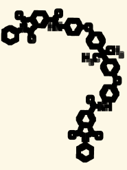 CC(C)(c1ccc(Oc2ccc(NC(=O)c3ccc4c(c3)C(=O)N(C3=CC=CCC3)C4=O)cc2)cc1)c1ccc(Oc2ccc(NC(=O)c3ccc4c(c3)C(=O)N(C3=CC=CCC3)C4=O)cc2)cc1